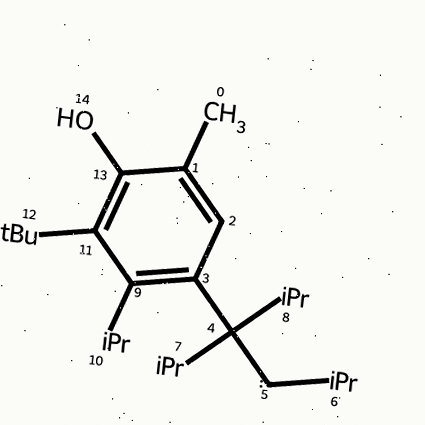 Cc1cc(C([C]C(C)C)(C(C)C)C(C)C)c(C(C)C)c(C(C)(C)C)c1O